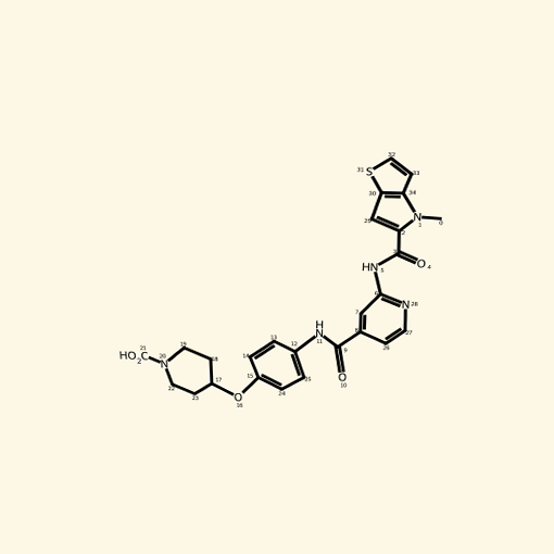 Cn1c(C(=O)Nc2cc(C(=O)Nc3ccc(OC4CCN(C(=O)O)CC4)cc3)ccn2)cc2sccc21